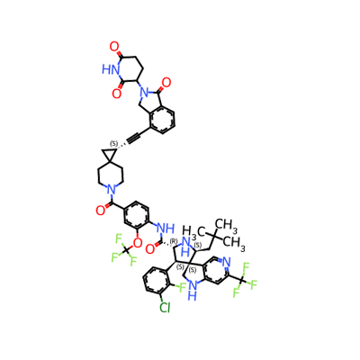 CC(C)(C)C[C@@H]1N[C@@H](C(=O)Nc2ccc(C(=O)N3CCC4(CC3)C[C@@H]4C#Cc3cccc4c3CN(C3CCC(=O)NC3=O)C4=O)cc2OC(F)(F)F)[C@H](c2cccc(Cl)c2F)[C@]12CNc1cc(C(F)(F)F)ncc12